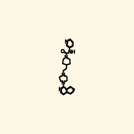 O=C(Nc1cccnc1)N1CCC(CCN2CCN(c3nccc4ccccc34)CC2)CC1